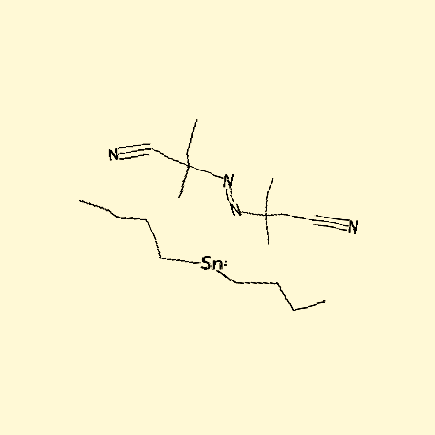 CC(C)(C#N)N=NC(C)(C)C#N.CCC[CH2][Sn][CH2]CCC